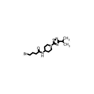 CC(C)c1nsc(N2CCC(NC(=O)CCCBr)CC2)n1